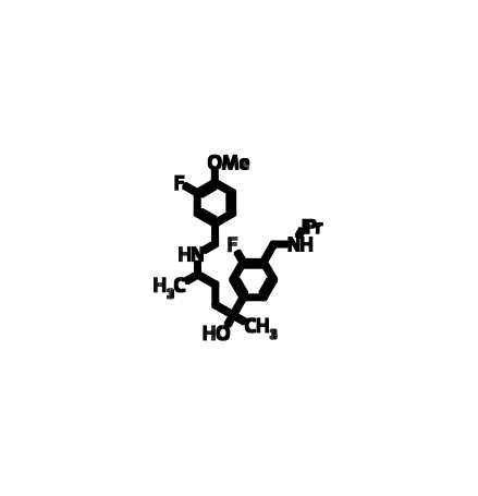 COc1ccc(CNC(C)CCC(C)(O)c2ccc(CNC(C)C)c(F)c2)cc1F